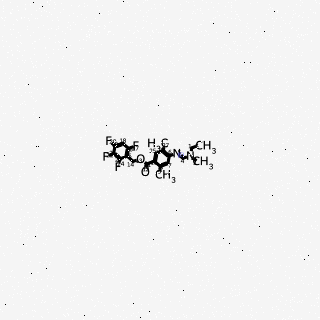 CCN(C)/C=N/c1cc(C)c(C(=O)OCc2c(F)cc(F)c(F)c2F)cc1C